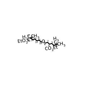 CCOC(=O)C(C)(C)CCCCCOCCCCCC(C)(C)C(=O)OCC